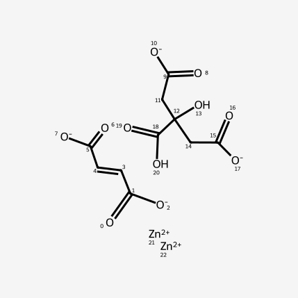 O=C([O-])C=CC(=O)[O-].O=C([O-])CC(O)(CC(=O)[O-])C(=O)O.[Zn+2].[Zn+2]